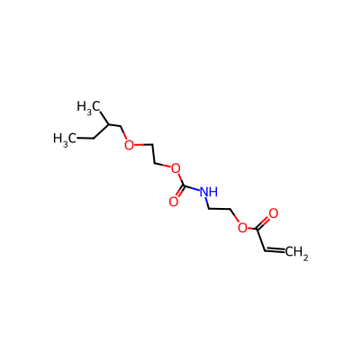 C=CC(=O)OCCNC(=O)OCCOCC(C)CC